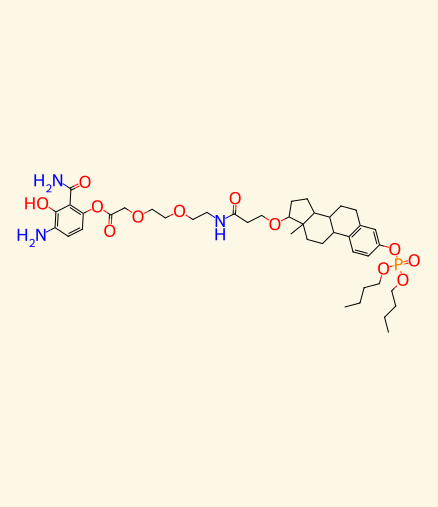 CCCCOP(=O)(OCCCC)Oc1ccc2c(c1)CCC1C2CCC2(C)C(OCCC(=O)NCCOCCOCC(=O)Oc3ccc(N)c(O)c3C(N)=O)CCC12